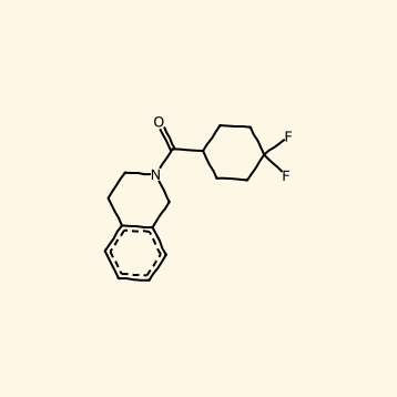 O=C(C1CCC(F)(F)CC1)N1CCc2ccccc2C1